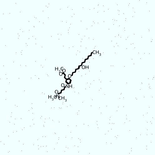 CCCCCCCCC(O)/C=C/CCCCOc1ccc(NC(=O)CCCC(=O)N(C)C)cc1CCC(=O)OC